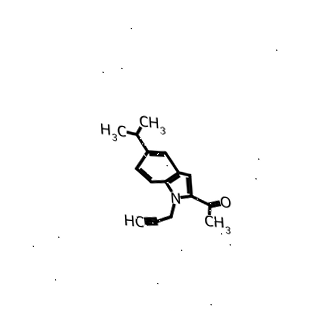 C#CCn1c(C(C)=O)cc2cc(C(C)C)ccc21